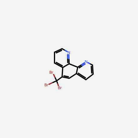 BrC(Br)(Br)c1cc2cccnc2c2ncccc12